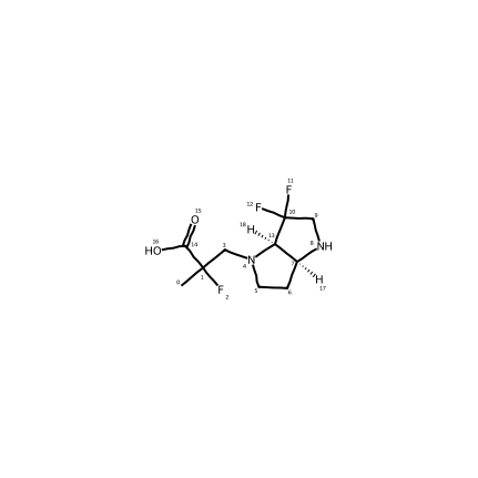 CC(F)(CN1CC[C@@H]2NCC(F)(F)[C@@H]21)C(=O)O